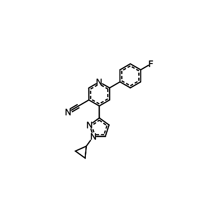 N#Cc1cnc(-c2ccc(F)cc2)cc1-c1ccn(C2CC2)n1